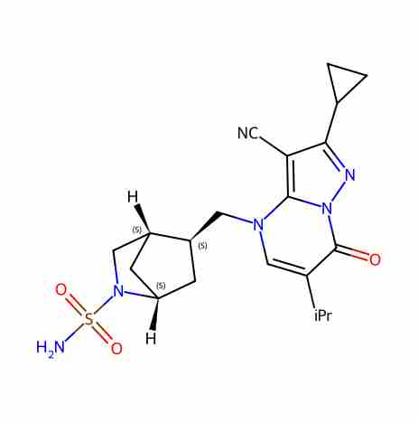 CC(C)c1cn(C[C@H]2C[C@H]3C[C@@H]2CN3S(N)(=O)=O)c2c(C#N)c(C3CC3)nn2c1=O